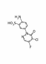 Nc1ccc(-n2ncc(F)c(Cl)c2=O)cc1S(=O)(=O)O